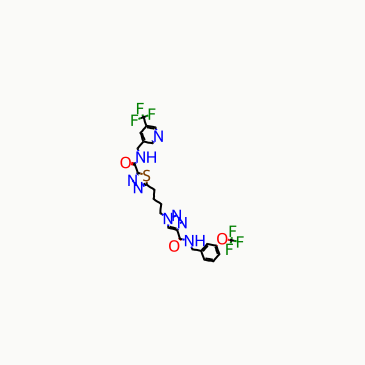 O=C(NCc1cccc(OC(F)(F)F)c1)c1cn(CCCCc2nnc(C(=O)NCc3cncc(C(F)(F)F)c3)s2)nn1